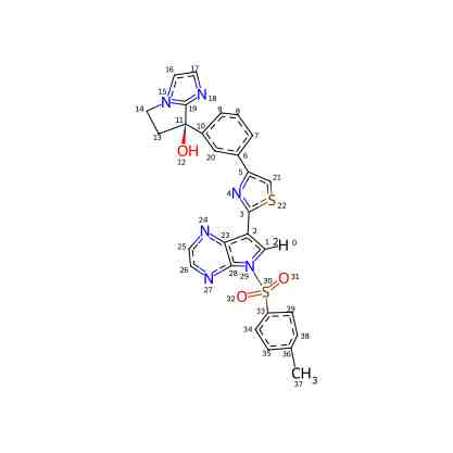 [2H]c1c(-c2nc(-c3cccc([C@]4(O)CCn5ccnc54)c3)cs2)c2nccnc2n1S(=O)(=O)c1ccc(C)cc1